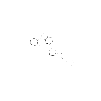 C[S+]([O-])CCNC(=O)c1cccc(-c2ccc3c(c2)C(c2ccc(Cl)cc2Cl)CC3)c1